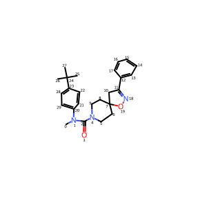 CN(C(=O)N1CCC2(CC1)CC(c1ccccc1)=NO2)c1ccc(C(C)(C)C)cc1